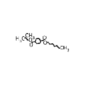 CCCCCCCOC(=O)C1CCC(C(=O)OCC(C)C)CC1